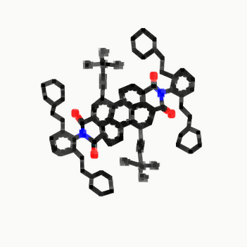 CC(C)[Si](C#Cc1cc2c3c(ccc4c5c(C#C[Si](C(C)C)(C(C)C)C(C)C)cc6c7c(ccc(c1c34)c75)C(=O)N(c1c(CCC3CCCCC3)cccc1CCC1CCCCC1)C6=O)C(=O)N(c1c(CCC3CCCCC3)cccc1CCC1CCCCC1)C2=O)(C(C)C)C(C)C